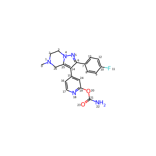 CN1CCn2nc(-c3ccc(F)cc3)c(-c3ccnc(OC(N)=O)c3)c2C1